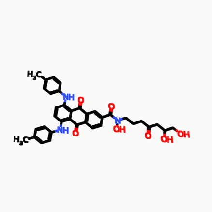 Cc1ccc(Nc2ccc(Nc3ccc(C)cc3)c3c2C(=O)c2ccc(C(=O)N(O)CCCC(=O)CC(O)CO)cc2C3=O)cc1